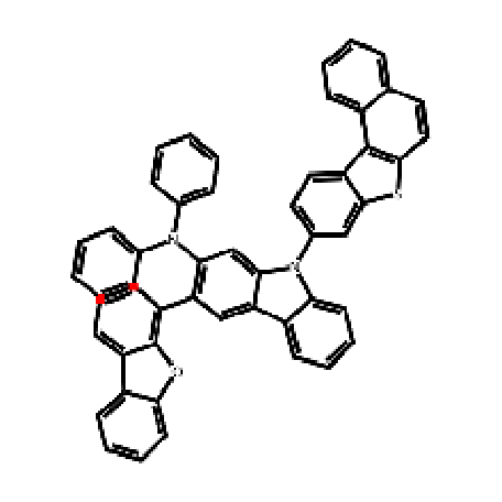 c1ccc(N(c2ccccc2)c2cc3c(cc2-c2cccc4c2oc2ccccc24)c2ccccc2n3-c2ccc3c(c2)sc2ccc4ccccc4c23)cc1